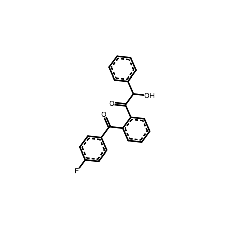 O=C(c1ccc(F)cc1)c1ccccc1C(=O)C(O)c1ccccc1